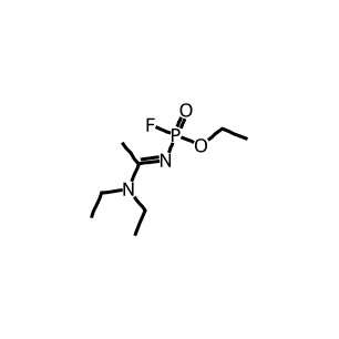 CCOP(=O)(F)/N=C(\C)N(CC)CC